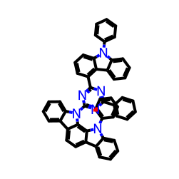 c1ccc(-c2nc(-c3cccc4c3c3ccccc3n4-c3ccccc3)nc(-n3c4ccccc4c4ccc5c6ccccc6n(-c6ccccc6)c5c43)n2)cc1